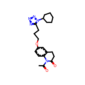 CC(=O)N1C(=O)CCc2cc(OCCCc3nnnn3C3CCCCC3)ccc21